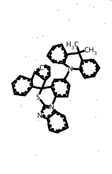 CC1(C)c2ccccc2N(c2ccc3c(c2)C2(Sc4nc5ccccc5n4-3)c3ccccc3-c3ccccc32)c2ccccc21